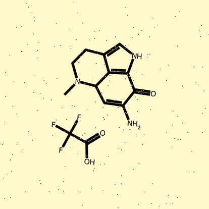 CN1CCc2c[nH]c3c2C1C=C(N)C3=O.O=C(O)C(F)(F)F